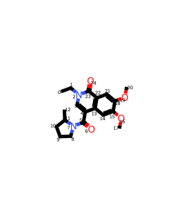 CCn1cc(C(=O)N2CCCC2C)c2cc(OC)c(OC)cc2c1=O